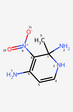 CC1(N)NC=CC(N)=C1[N+](=O)[O-]